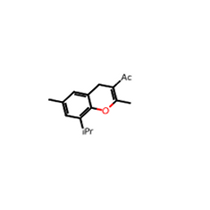 CC(=O)C1=C(C)Oc2c(cc(C)cc2C(C)C)C1